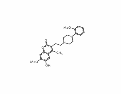 COc1cc2oc(=O)c(CCN3CCN(c4ccccc4OC)CC3)c(C)c2cc1O